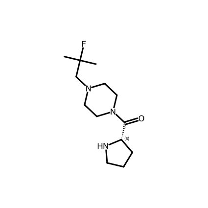 CC(C)(F)CN1CCN(C(=O)[C@@H]2CCCN2)CC1